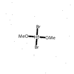 C[O][Hf]([Br])([Br])[O]C